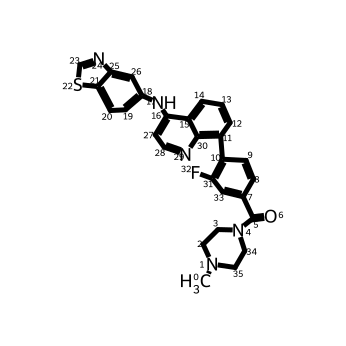 CN1CCN(C(=O)c2ccc(-c3cccc4c(Nc5ccc6scnc6c5)ccnc34)c(F)c2)CC1